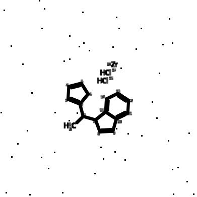 CC(C1=CC=CC1)C1C=Cc2ccccc21.Cl.Cl.[Zr]